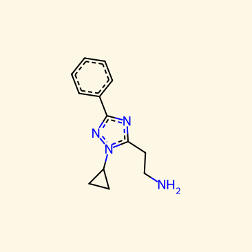 NCCc1nc(-c2ccccc2)nn1C1CC1